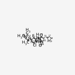 CC1CN(c2nc(Cl)nc(NNC(=O)[C@H](CC3CCCC3)CN(O)C=O)c2F)C(C)CN1C